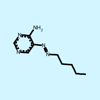 CCCCC/N=N/c1cncnc1N